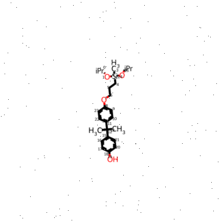 CC(C)O[Si](C)(CCCOc1ccc(C(C)(C)c2ccc(O)cc2)cc1)OC(C)C